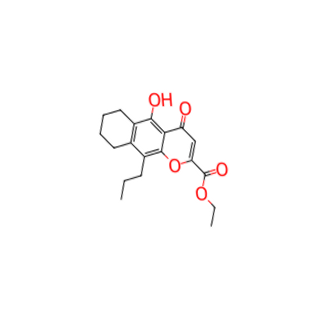 CCCc1c2c(c(O)c3c(=O)cc(C(=O)OCC)oc13)CCCC2